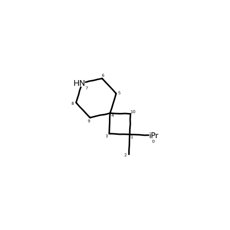 CC(C)C1(C)CC2(CCNCC2)C1